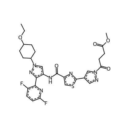 CCOC1CCC(n2cc(NC(=O)c3csc(-c4cnn(C(=O)CCC(=O)OC)c4)n3)c(-c3nc(F)ccc3F)n2)CC1